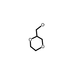 [O]CC1COCCO1